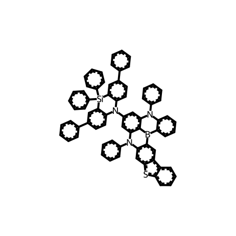 c1ccc(-c2ccc3c(c2)[Si](c2ccccc2)(c2ccccc2)c2cc(-c4ccccc4)ccc2N3c2cc3c4c(c2)N(c2ccccc2)c2cc5sc6ccccc6c5cc2B4c2ccccc2N3c2ccccc2)cc1